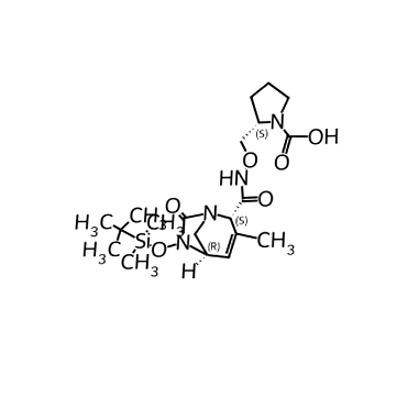 CC1=C[C@@H]2CN(C(=O)N2O[Si](C)(C)C(C)(C)C)[C@@H]1C(=O)NOC[C@@H]1CCCN1C(=O)O